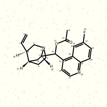 C=C[C@H]1CN2CC[C@H]1C[C@H]2C(OC(C)=O)c1ccnc2ccc(F)cc12